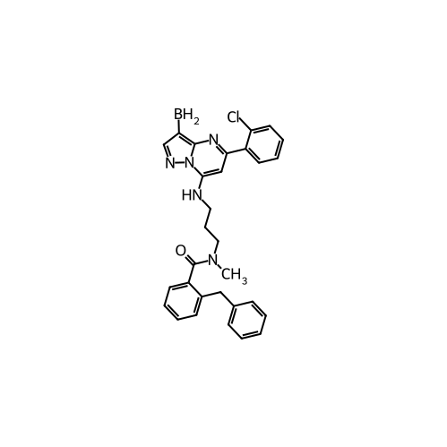 Bc1cnn2c(NCCCN(C)C(=O)c3ccccc3Cc3ccccc3)cc(-c3ccccc3Cl)nc12